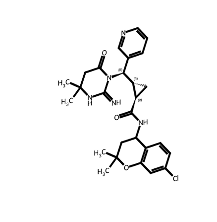 CC1(C)CC(=O)N([C@@H](c2cccnc2)[C@@H]2C[C@H]2C(=O)NC2CC(C)(C)Oc3cc(Cl)ccc32)C(=N)N1